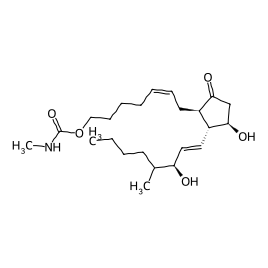 CCCCC(C)[C@H](O)/C=C/[C@H]1[C@H](O)CC(=O)[C@@H]1C/C=C\CCCCOC(=O)NC